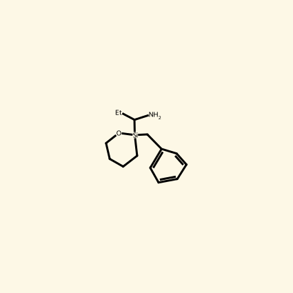 CCC(N)[Si]1(Cc2ccccc2)CCCCO1